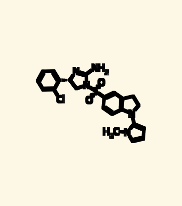 Cn1cccc1N1CCc2cc(S(=O)(=O)N3C[C@H](c4ccccc4Cl)N=C3N)ccc21